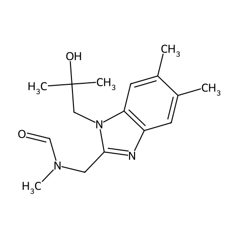 Cc1cc2nc(CN(C)C=O)n(CC(C)(C)O)c2cc1C